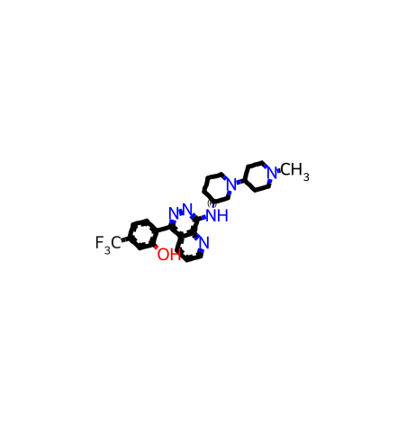 CN1CCC(N2CCC[C@@H](Nc3nnc(-c4ccc(C(F)(F)F)cc4O)c4cccnc34)C2)CC1